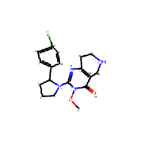 COn1c(N2CCCC2c2ccc(Cl)cc2)nc2c(c1=O)CNCC2